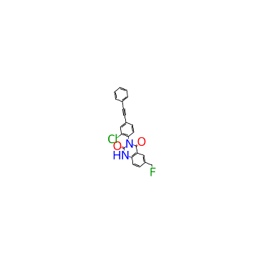 O=c1[nH]c2ccc(CF)cc2c(=O)n1-c1ccc(C#Cc2ccccc2)cc1Cl